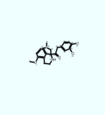 COc1cccc2c1CCNC2(CN(C)C)C(=O)Cc1ccc(Cl)c(Cl)c1